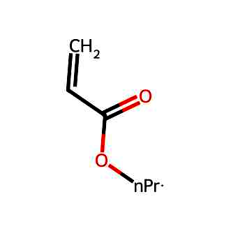 C=CC(=O)O[CH]CC